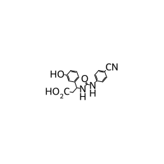 N#Cc1ccc(NC(=O)NC(CC(=O)O)c2cccc(O)c2)cc1